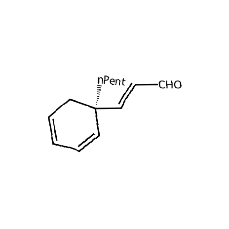 CCCCC[C@]1(/C=C/C=O)C=CC=CC1